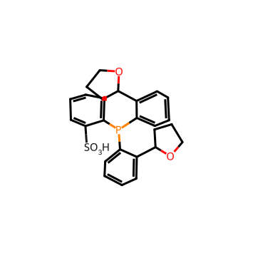 O=S(=O)(O)c1ccccc1P(c1ccccc1C1CCCO1)c1ccccc1C1CCCO1